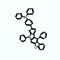 c1ccc(-c2c3c(cc4c2c2ccc(-c5ccc(N(c6ccccc6)c6ccccc6)cc5)cc2n4-c2ccccc2)oc2ccccc23)cc1